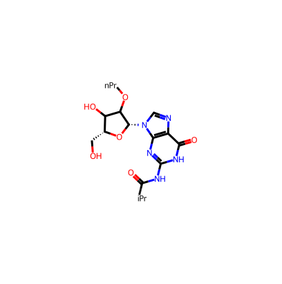 CCCOC1C(O)[C@@H](CO)O[C@H]1n1cnc2c(=O)[nH]c(NC(=O)C(C)C)nc21